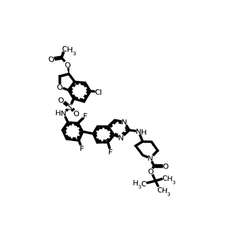 CC(=O)O[C@@H]1COc2c1cc(Cl)cc2S(=O)(=O)Nc1ccc(F)c(-c2cc(F)c3nc(NC4CCN(C(=O)OC(C)(C)C)CC4)ncc3c2)c1F